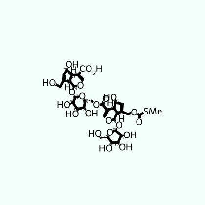 CSC(=O)OCC1=C[C@H](O)[C@@H]2C(C(=O)OC[C@H]3O[C@@H](O[C@@H]4OC=C(C(=O)O)[C@@H]5[C@H]4C(CO)=C[C@@H]5O)[C@H](O)[C@@H](O)[C@@H]3O)=CO[C@@H](O[C@@H]3O[C@H](CO)[C@@H](O)[C@H](O)[C@H]3O)[C@H]12